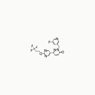 O=c1ccc(-c2cnc(OCCC(F)(F)I)nc2)nn1Cc1cncc(F)c1